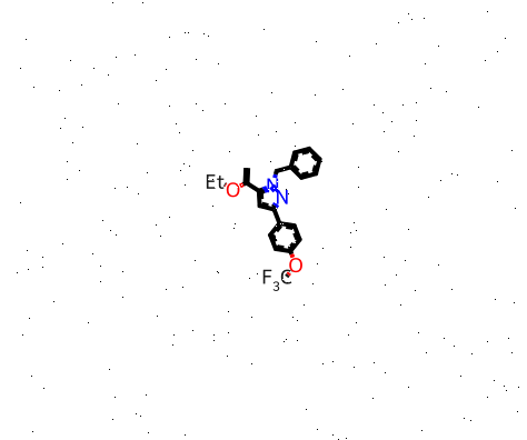 C=C(OCC)c1cc(-c2ccc(OC(F)(F)F)cc2)nn1Cc1ccccc1